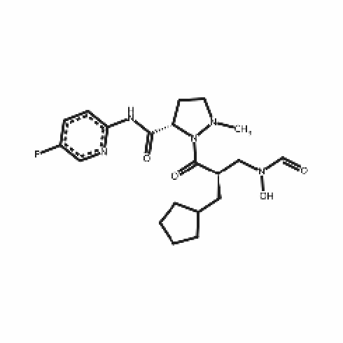 CN1CC[C@@H](C(=O)Nc2ccc(F)cn2)N1C(=O)[C@H](CC1CCCC1)CN(O)C=O